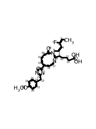 C/C=C(F)\C=C/Cn1c(CCCCC(O)O)nccc(-c2nc(Cc3ccc(OC)cc3)no2)cccc1=O